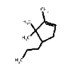 CCCC1CC=C(C)C1(C)C